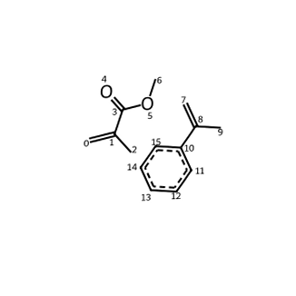 C=C(C)C(=O)OC.C=C(C)c1ccccc1